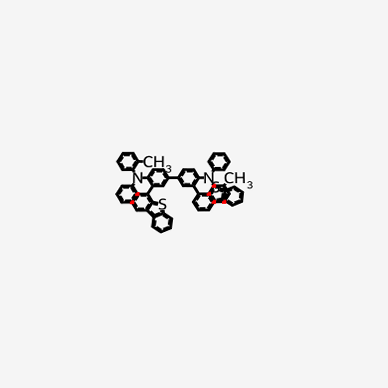 Cc1ccccc1N(c1ccccc1)c1ccc(-c2ccc(N(c3ccccc3)c3ccccc3C)c(-c3cccc4c3sc3ccccc34)c2)cc1-c1cccc2c1sc1ccccc12